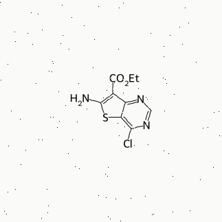 CCOC(=O)c1c(N)sc2c(Cl)ncnc12